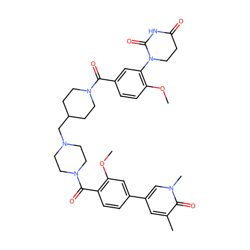 COc1cc(-c2cc(C)c(=O)n(C)c2)ccc1C(=O)N1CCN(CC2CCN(C(=O)c3ccc(OC)c(N4CCC(=O)NC4=O)c3)CC2)CC1